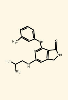 Cc1cccc(Nc2nc(NCC(N)C(F)(F)F)cc3c2C(=O)NC3)c1